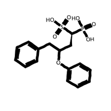 O=P(O)(O)[C@@H](CC(Cc1ccccc1)Oc1ccccc1)S(=O)(=O)O